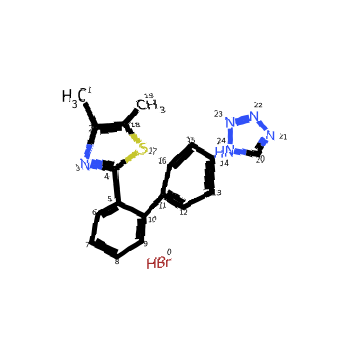 Br.Cc1nc(-c2ccccc2-c2ccccc2)sc1C.c1nnn[nH]1